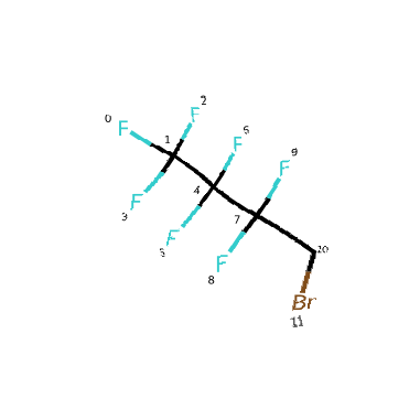 FC(F)(F)C(F)(F)C(F)(F)CBr